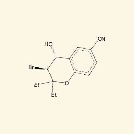 CCC1(CC)Oc2ccc(C#N)cc2[C@@H](O)[C@@H]1Br